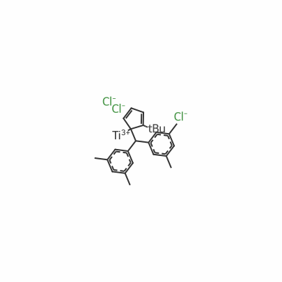 Cc1cc(C)cc(C(c2cc(C)cc(C)c2)[C]2([Ti+3])C=CC=C2C(C)(C)C)c1.[Cl-].[Cl-].[Cl-]